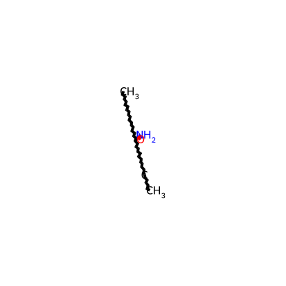 CCCCCCCCCCCCCCCCCCCC=C(CCCCCCCCCCCCCCCCCC)C(N)=O